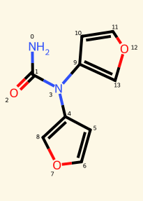 NC(=O)N(c1ccoc1)c1ccoc1